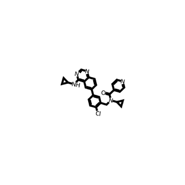 O=C(c1ccncc1)N(Cc1cc(-c2ccc3ncnc(NC4CC4)c3c2)ccc1Cl)C1CC1